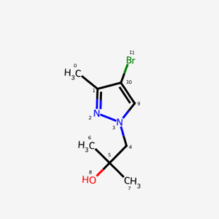 Cc1nn(CC(C)(C)O)cc1Br